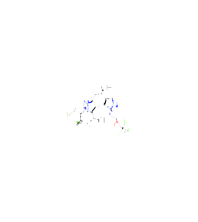 CC(C)c1cc(CC(C)c2cnn(CCOC(F)(F)F)c2)nn1C(CF)CF